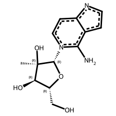 C[C@@]1(O)[C@H](O)[C@@H](CO)O[C@H]1n1ccc2nccc-2c1N